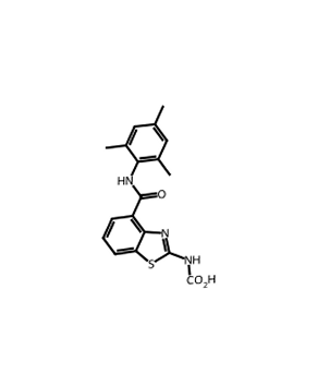 Cc1cc(C)c(NC(=O)c2cccc3sc(NC(=O)O)nc23)c(C)c1